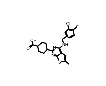 Cc1cc2c(NCc3ccc(Cl)c(Cl)c3)nc(C3CCC(C(=O)O)CC3)nc2s1